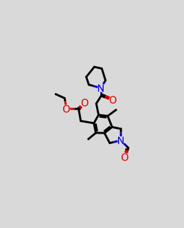 CCOC(=O)Cc1c(C)c2c(c(C)c1CC(=O)N1CCCCC1)CN(C=O)C2